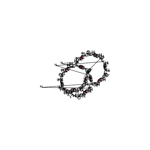 [O-][S+]1C[C@H]2CC[C@H](CC2)C2CC3C[C@H](C2)[C@@H]2CC[C@@H](CC2)C[S+]([O-])C[C@H]2CC[C@H](CC2)[C@H]2CC4C[C@H](C2)[C@@H]2CC[C@@H](CC2)C[S+]([O-])C[C@H]2CC[C@H](CC2)[C@H]2CC(CC(C2)[C@@H]2CC[C@@H](CC2)C[S+]([O-])C[C@H]2CC[C@H](CC2)[C@H]2CC(C[C@H](C2)[C@@H]2CC[C@@H](CC2)C1)C1CCC(CC1)C[S@+]([O-])CC1CCC4CC1)[C@@H]1CC[C@H](CC[S@+]([O-])C[C@H]2CC[C@@H]3CC2)CC1